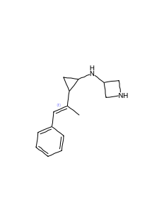 C/C(=C\c1ccccc1)C1CC1NC1CNC1